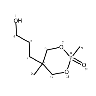 CC1(CCCO)COP(C)(=O)OC1